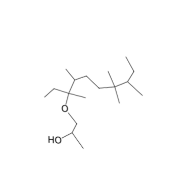 CCC(C)C(C)(C)CCC(C)C(C)(CC)OCC(C)O